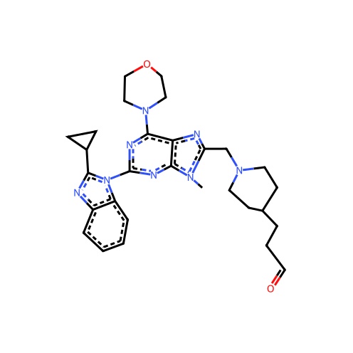 Cn1c(CN2CCC(CCC=O)CC2)nc2c(N3CCOCC3)nc(-n3c(C4CC4)nc4ccccc43)nc21